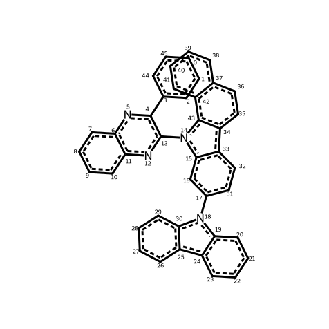 c1ccc(-c2nc3ccccc3nc2-n2c3cc(-n4c5ccccc5c5ccccc54)ccc3c3ccc4ccccc4c32)cc1